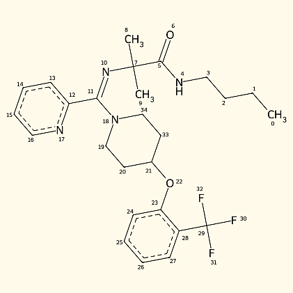 CCCCNC(=O)C(C)(C)N=C(c1ccccn1)N1CCC(Oc2ccccc2C(F)(F)F)CC1